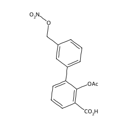 CC(=O)Oc1c(C(=O)O)cccc1-c1cccc(CO[N+](=O)[O-])c1